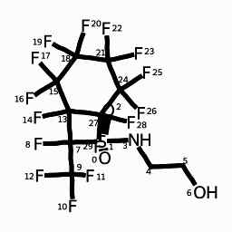 O=S(=O)(NCCO)C(F)(C(F)(F)F)C1(F)C(F)(F)C(F)(F)C(F)(F)C(F)(F)C1(F)F